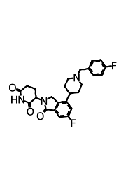 O=C1CCC(N2Cc3c(cc(F)cc3C3CCN(Cc4ccc(F)cc4)CC3)C2=O)C(=O)N1